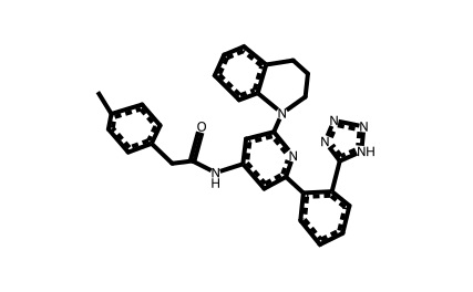 Cc1ccc(CC(=O)Nc2cc(-c3ccccc3-c3nnn[nH]3)nc(N3CCCc4ccccc43)c2)cc1